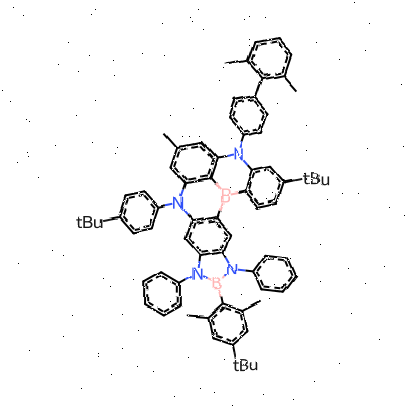 Cc1cc2c3c(c1)N(c1ccc(C(C)(C)C)cc1)c1cc4c(cc1B3c1ccc(C(C)(C)C)cc1N2c1ccc(-c2c(C)cccc2C)cc1)N(c1ccccc1)B(c1c(C)cc(C(C)(C)C)cc1C)N4c1ccccc1